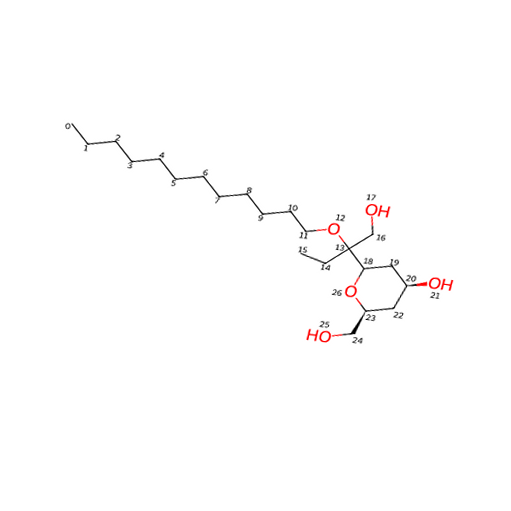 CCCCCCCCCCCCOC(CC)(CO)C1C[C@@H](O)C[C@@H](CO)O1